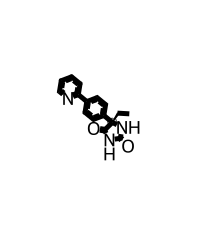 CC[C@@]1(c2ccc(-c3ccccn3)cc2)NC(=O)NC1=O